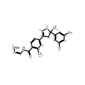 CO/N=C\NC(=O)c1ccc(C2=NOC(c3cc(Cl)cc(Cl)c3)(C(F)(F)F)C2)cc1C(F)(F)F